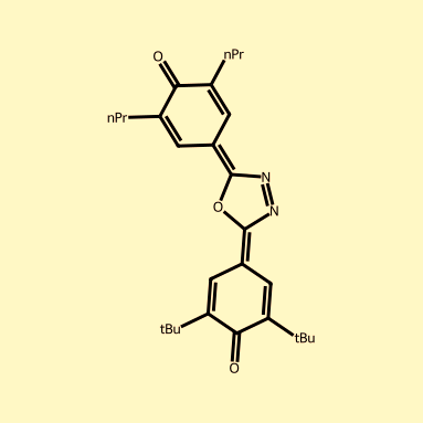 CCCC1=CC(=c2nnc(=C3C=C(C(C)(C)C)C(=O)C(C(C)(C)C)=C3)o2)C=C(CCC)C1=O